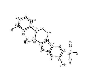 CCc1cc2cc3n(c2cc1S(C)(=O)=O)CCN(c1nccc(C)n1)[C@H]3C(C)C